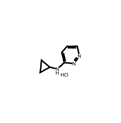 Cl.c1cnnc(NC2CC2)c1